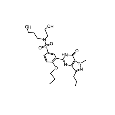 CCCOc1ccc(S(=O)(=O)N(CCO)CCCO)cc1-c1nc2c(CCC)nn(C)c2c(=O)[nH]1